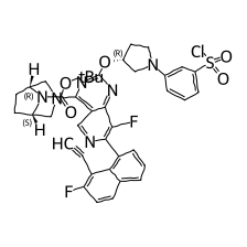 C#Cc1c(F)ccc2cccc(-c3ncc4c(N5C[C@H]6CC[C@@H](C5)N6C(=O)OC(C)(C)C)nc(O[C@@H]5CCN(c6cccc(S(=O)(=O)Cl)c6)C5)nc4c3F)c12